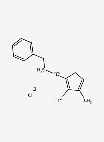 CC1=CC[C]([Ti+2][SiH2]Cc2ccccc2)=C1C.[Cl-].[Cl-]